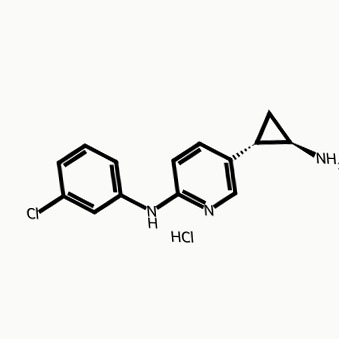 Cl.N[C@@H]1C[C@H]1c1ccc(Nc2cccc(Cl)c2)nc1